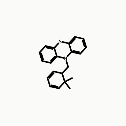 CC1(C)C=CC=CC1CN1c2ccccc2Sc2ccccc21